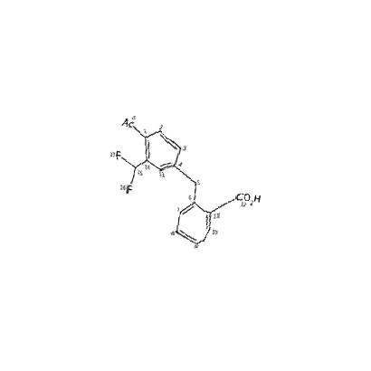 CC(=O)c1ccc(Cc2ccccc2C(=O)O)cc1C(F)F